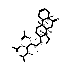 CC(=O)O[C@H]([C@@H](C)[C@H]1CC[C@H]2[C@@H]3CC(=O)[C@H]4CC=CC[C@]4(C)[C@H]3CC[C@]12C)[C@H](OC(C)=O)[C@@H](C)C(C)C